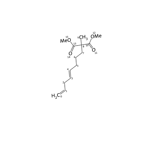 C=CCC=CCCCC(C)(C(=O)OC)C(=O)OC